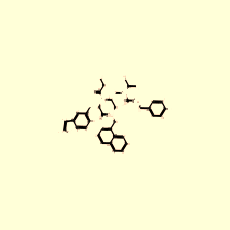 CCC(=O)N1[C@@H](CN(C(=O)NCc2ccccc2)C(C)C)CN(Cc2cccc3ccccc23)C(=O)[C@@H]1Cc1ccc2occc2c1